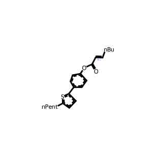 CCCC/C=C/C(=O)Oc1ccc(-c2ccc(CCCCC)s2)cc1